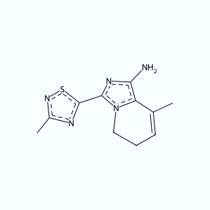 CC1=CCCn2c(-c3nc(C)ns3)nc(N)c21